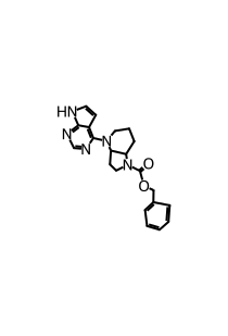 O=C(OCc1ccccc1)N1CCC2C1CCCN2c1ncnc2[nH]ccc12